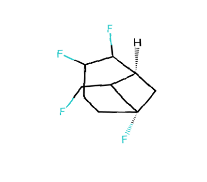 FCC1[C@@H]2C[C@@]1(F)CCC(F)C2F